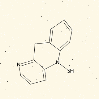 SN1c2ccccc2Cc2ncccc21